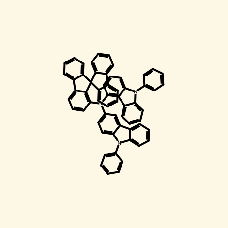 c1ccc(-n2c3ccccc3c3cc(N(c4cccc5c4C4(c6ccccc6-c6ccccc64)c4ccccc4-5)c4cccc5c4c4ccccc4n5-c4ccccc4)ccc32)cc1